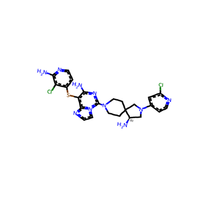 Nc1nccc(Sc2c(N)nc(N3CCC4(CC3)CN(c3ccnc(Cl)c3)C[C@H]4N)n3ccnc23)c1Cl